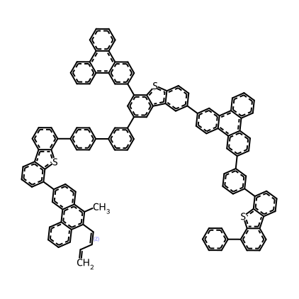 C=C/C=C\c1c(C)c2ccc(-c3cccc4c3sc3c(-c5ccc(-c6cccc(-c7cc(-c8ccc9c%10ccccc%10c%10ccccc%10c9c8)c8sc9ccc(-c%10ccc%11c%12cc(-c%13cccc(-c%14cccc%15c%14sc%14c(-c%16ccccc%16)cccc%14%15)c%13)ccc%12c%12ccccc%12c%11c%10)cc9c8c7)c6)cc5)cccc34)cc2c2ccccc12